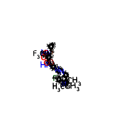 Cc1c(-c2cccc(N3CCN(c4ccc(NS(=O)(=O)c5ccc(NSc6ccccc6)c(S(=O)(=O)C(F)(F)F)c5)cc4)CC3)c2)c(-c2ccc(F)cc2)n(C)c1C